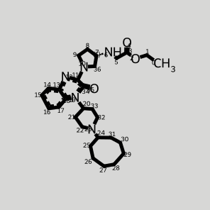 CCOC(=O)CN[C@H]1CCN(c2nc3ccccc3n(C3CCN(C4CCCCCCC4)CC3)c2=O)C1